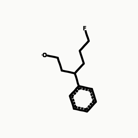 [O]CCC(CCCF)c1ccccc1